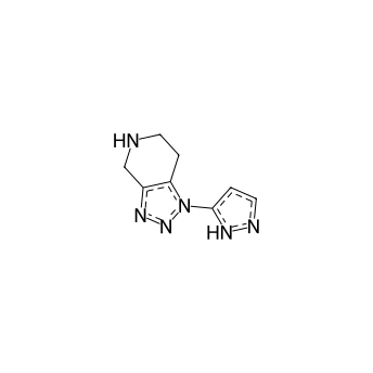 c1cc(-n2nnc3c2CCNC3)[nH]n1